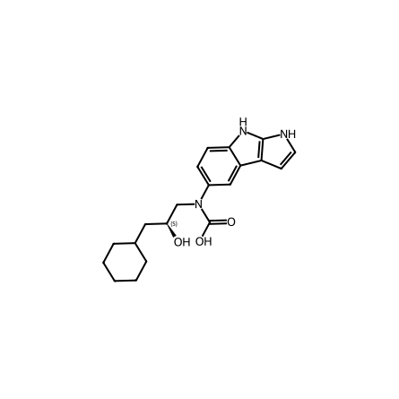 O=C(O)N(C[C@@H](O)CC1CCCCC1)c1ccc2[nH]c3[nH]ccc3c2c1